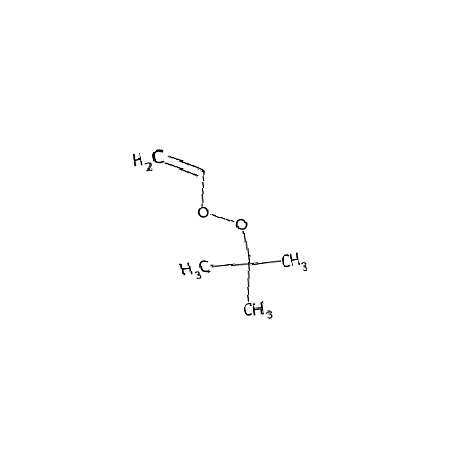 C=COOC(C)(C)C